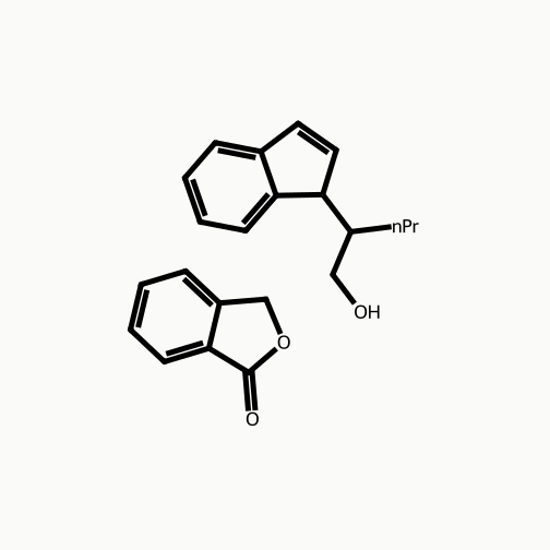 CCCC(CO)C1C=Cc2ccccc21.O=C1OCc2ccccc21